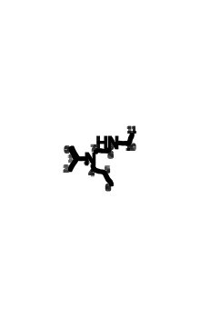 C=C(C)N(CCC)CCNCC